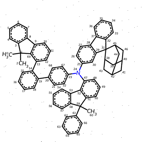 CC1(C)c2ccccc2-c2cccc(-c3ccccc3-c3ccc(N(c4ccc5c(c4)C4(c6ccccc6-5)C5CC6CC(C5)CC4C6)c4cccc5c4-c4ccccc4C5(C)c4ccccc4)cc3)c21